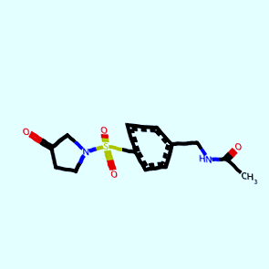 CC(=O)NCc1ccc(S(=O)(=O)N2CCC(=O)C2)cc1